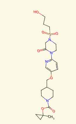 CC1(OC(=O)N2CCC(COc3ccc(N4CCN(S(=O)(=O)CCCO)CC4=O)nc3)CC2)CC1